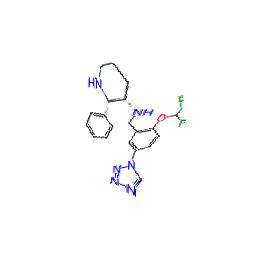 FC(F)Oc1ccc(-n2cnnn2)cc1CN[C@H]1CCCN[C@H]1c1ccccc1